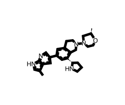 Cc1c[nH]c2ncc(-c3cc4c(c([C@@H]5CCCN5)c3)CN(N3CCO[C@@H](C)C3)CC4)cc12